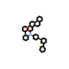 c1ccc(-c2ccccc2N(c2ccc(-c3cccc4c3sc3ccccc34)cc2)c2ccc3ccc4c5ccccc5ccc4c3c2)cc1